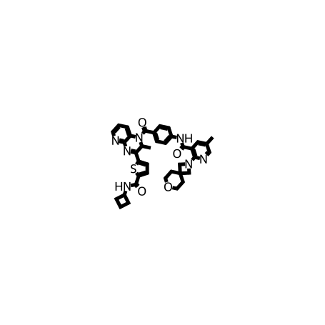 Cc1cnc(N2CC3(CCOCC3)C2)c(C(=O)Nc2ccc(C(=O)N3c4cccnc4N=C(c4ccc(C(=O)NC5CCC5)s4)C3C)cc2)c1